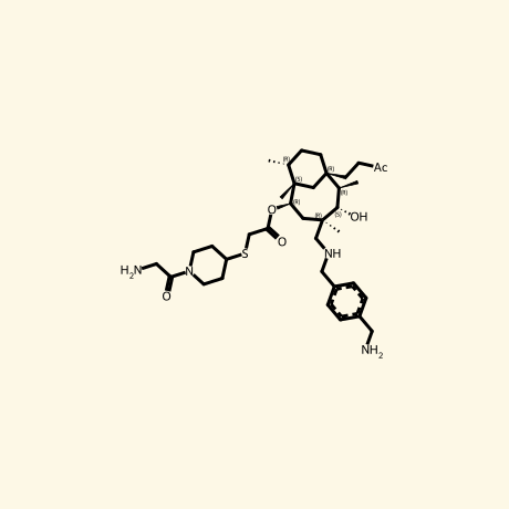 CC(=O)CC[C@]12CC[C@@H](C)[C@](C)(C1)[C@H](OC(=O)CSC1CCN(C(=O)CN)CC1)C[C@](C)(CNCc1ccc(CN)cc1)[C@@H](O)[C@@H]2C